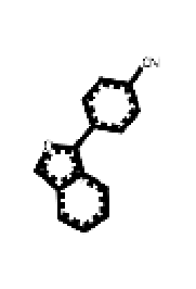 N#Cc1ccc(-c2occ3ccccc23)cc1